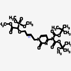 COC(=O)C(OC/C=C/Cn1ccc(N(C(=O)OC(C)(C)C)C(=O)OC(C)(C)C)nc1=O)P(=O)(OC)OC